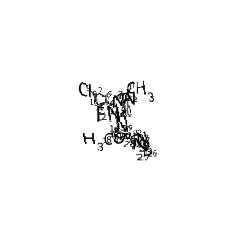 Cc1cn2c(-c3ccc(Cl)cc3F)nc(N3C[C@@H](C)O[C@@H](c4cnn(C5CC5)c4)C3)cc2n1